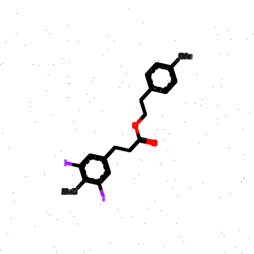 COc1c(I)cc(CCC(=O)OCCc2ccc(OC(C)=O)cc2)cc1I